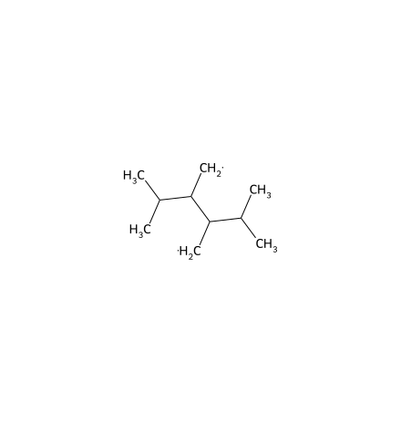 [CH2]C(C(C)C)C([CH2])C(C)C